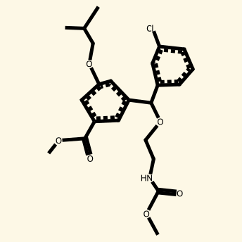 COC(=O)NCCOC(c1cccc(Cl)c1)c1cc(OCC(C)C)cc(C(=O)OC)c1